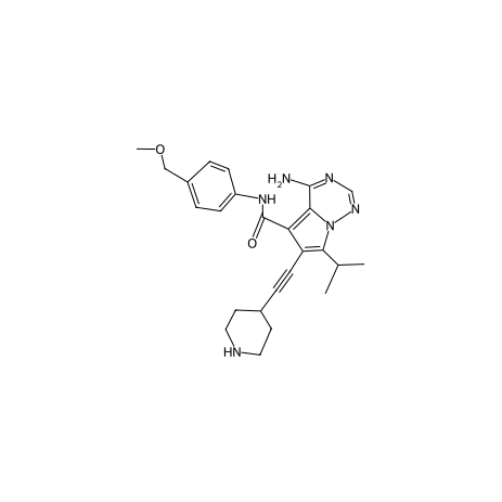 COCc1ccc(NC(=O)c2c(C#CC3CCNCC3)c(C(C)C)n3ncnc(N)c23)cc1